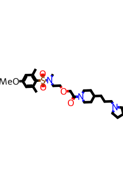 COc1cc(C)c(S(=O)(=O)N(C)CCOCC(=O)N2CCC(CCCN3CCCC3)CC2)c(C)c1